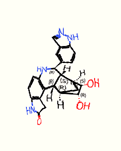 O=C1Cc2c(ccc3c2[C@H]2[C@H]4C[C@H]([C@H](O)[C@@H]4O)[C@H]2[C@H](c2ccc4[nH]ncc4c2)N3)N1